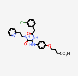 O=C(O)CCCOc1ccc(NC(NC(=O)Cc2cccc(Cl)c2)C(=O)NCCc2ccccn2)cc1